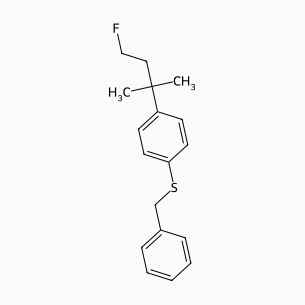 CC(C)(CCF)c1ccc(SCc2ccccc2)cc1